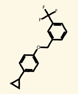 FC(F)(F)c1cccc(COc2ccc(C3CC3)cc2)c1